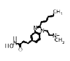 CCCCCc1nc2cc(CCC(=O)NO)ccc2n1CCNC